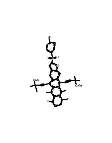 COC(C)(C)C#Cc1c2cc3cc(S(=O)(=O)c4ccc(C(C)C)cc4)sc3cc2c(C#CC(C)(C)OC)c2c(C)c3c(F)ccc(F)c3c(C)c12